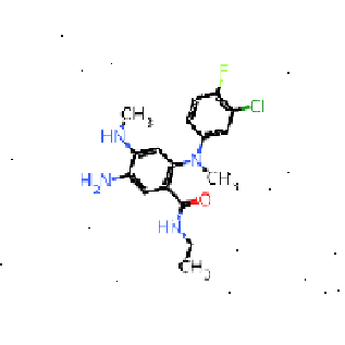 CCNC(=O)c1cc(N)c(NC)cc1N(C)c1ccc(F)c(Cl)c1